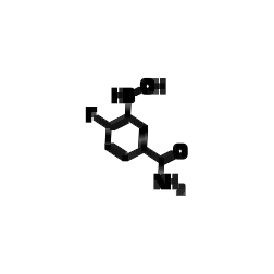 NC(=O)c1ccc(F)c(BO)c1